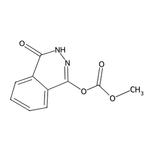 COC(=O)Oc1n[nH]c(=O)c2ccccc12